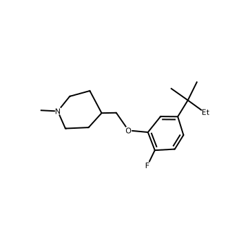 CCC(C)(C)c1ccc(F)c(OCC2CCN(C)CC2)c1